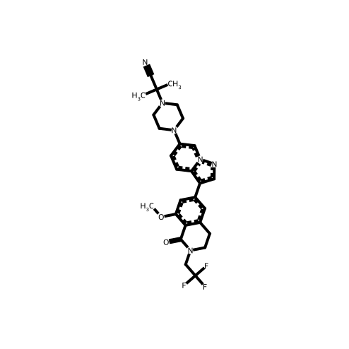 COc1cc(-c2cnn3cc(N4CCN(C(C)(C)C#N)CC4)ccc23)cc2c1C(=O)N(CC(F)(F)F)CC2